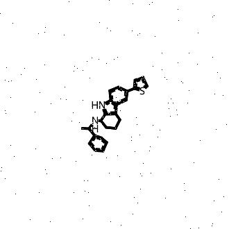 CC(NC1CCCc2c1[nH]c1ccc(-c3cccs3)cc21)c1ccccc1